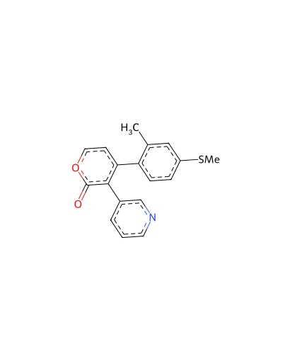 CSc1ccc(-c2ccoc(=O)c2-c2cccnc2)c(C)c1